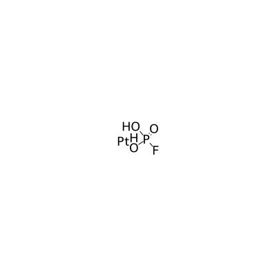 O=P(O)(O)F.[Pt]